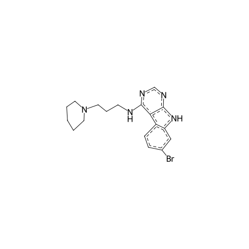 Brc1ccc2c(c1)[nH]c1ncnc(NCCCN3CCCCC3)c12